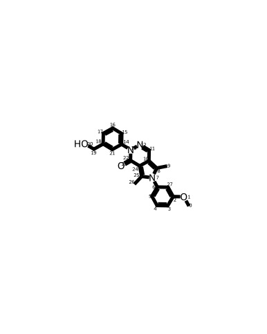 COc1cccc(-n2c(C)c3cnn(-c4cccc(CO)c4)c(=O)c3c2C)c1